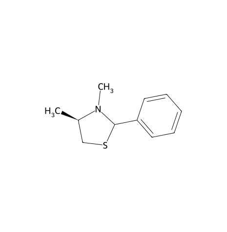 C[C@@H]1CSC(c2ccccc2)N1C